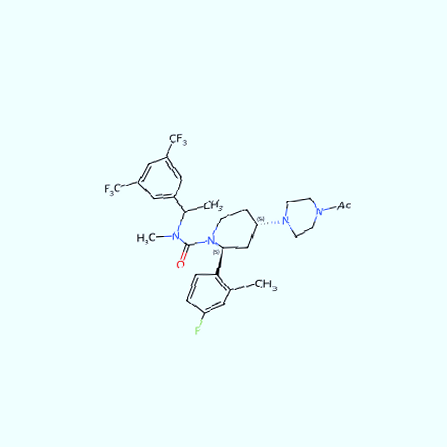 CC(=O)N1CCN([C@H]2CCN(C(=O)N(C)C(C)c3cc(C(F)(F)F)cc(C(F)(F)F)c3)[C@H](c3ccc(F)cc3C)C2)CC1